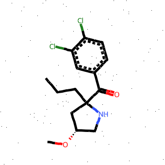 CCCC1(C(=O)c2ccc(Cl)c(Cl)c2)C[C@@H](OC)CN1